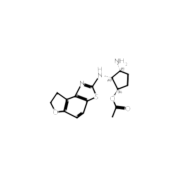 CC(=O)O[C@@H]1CC[C@@H](N)[C@H]1Nc1nc2c3c(ccc2s1)OCC3